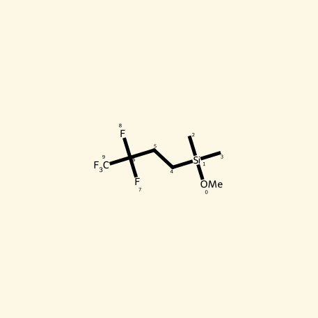 CO[Si](C)(C)CCC(F)(F)C(F)(F)F